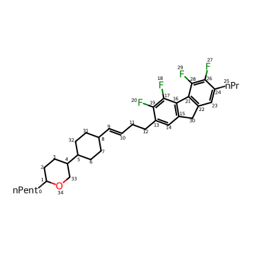 CCCCCC1CCC(C2CCC(/C=C/CCc3cc4c(c(F)c3F)-c3c(cc(CCC)c(F)c3F)C4)CC2)CO1